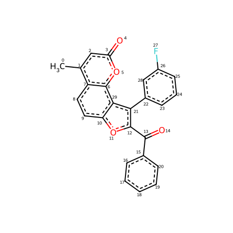 Cc1cc(=O)oc2c1ccc1oc(C(=O)c3ccccc3)c(-c3cccc(F)c3)c12